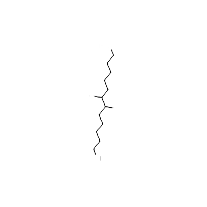 CCCCCCC(O)C(O)CCCCCC